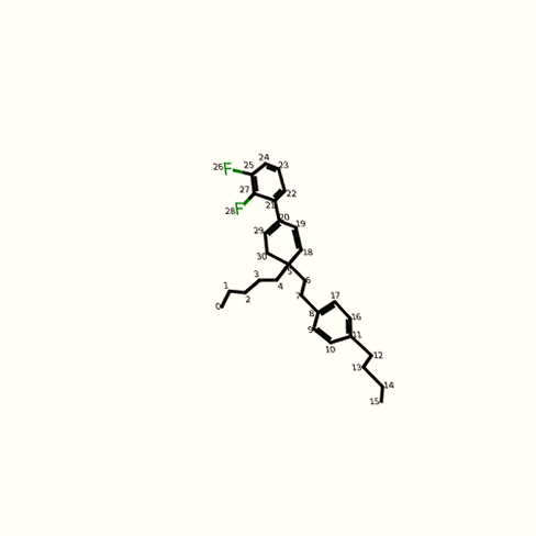 CCCCCC1(CCc2ccc(CCCC)cc2)C=CC(c2cccc(F)c2F)=CC1